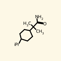 CC(C)C1CCC(C(C)(C)C(N)=O)CC1